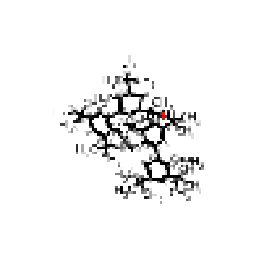 CC(C)(C)c1cc(-c2cc(C(C)(C)C)cc(C(C)(C)C)c2OPOc2c(-c3cc(C(C)(C)C)cc(C(C)(C)C)c3OP)cc(C(C)(C)C)cc2C(C)(C)C)c(P)c(C(C)(C)C)c1